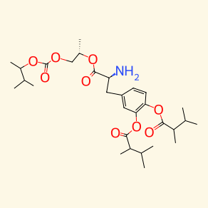 CC(C)C(C)OC(=O)OC[C@H](C)OC(=O)[C@@H](N)Cc1ccc(OC(=O)C(C)C(C)C)c(OC(=O)C(C)C(C)C)c1